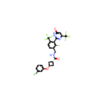 O=c1cc(C(F)(F)F)nc(-c2c(C(F)(F)F)ccc(CNC(=O)[C@H]3C[C@H](Oc4cccc(Cl)c4)C3)c2F)[nH]1